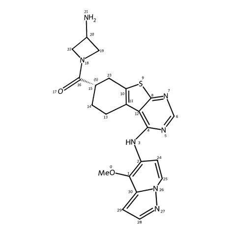 COc1c(Nc2ncnc3sc4c(c23)CC[C@H](C(=O)N2CC(N)C2)C4)ccn2nccc12